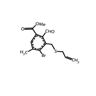 C=CCSCc1c(Br)c(C)cc(C(=O)OC)c1C=O